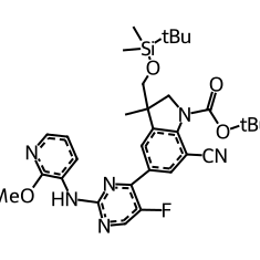 COc1ncccc1Nc1ncc(F)c(-c2cc(C#N)c3c(c2)C(C)(CO[Si](C)(C)C(C)(C)C)CN3C(=O)OC(C)(C)C)n1